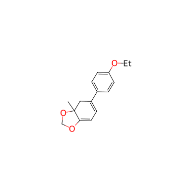 CCOc1ccc(C2=CC=C3OCOC3(C)C2)cc1